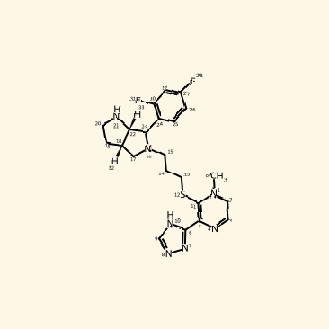 CN1CC=NC(c2nnc[nH]2)=C1SCCCN1C[C@@H]2CCN[C@@H]2C1c1ccc(F)cc1F